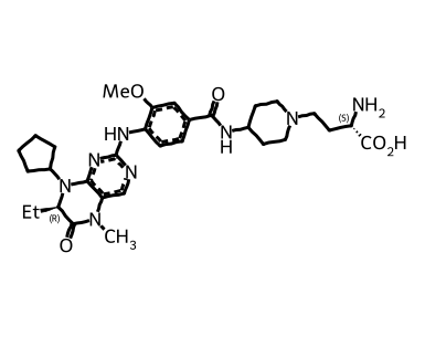 CC[C@@H]1C(=O)N(C)c2cnc(Nc3ccc(C(=O)NC4CCN(CC[C@H](N)C(=O)O)CC4)cc3OC)nc2N1C1CCCC1